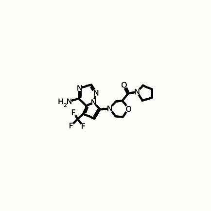 Nc1ncnn2c(N3CCOC(C(=O)N4CCCC4)C3)cc(C(F)(F)F)c12